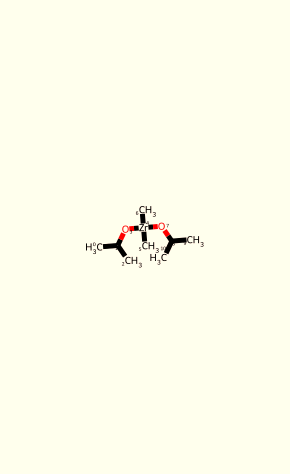 CC(C)[O][Zr]([CH3])([CH3])[O]C(C)C